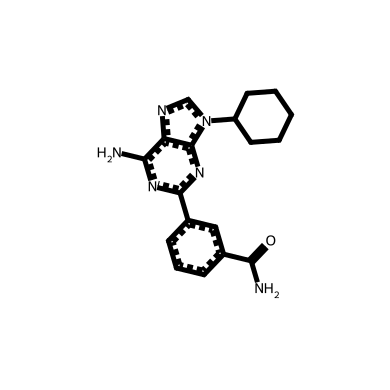 NC(=O)c1cccc(-c2nc(N)c3ncn(C4CCCCC4)c3n2)c1